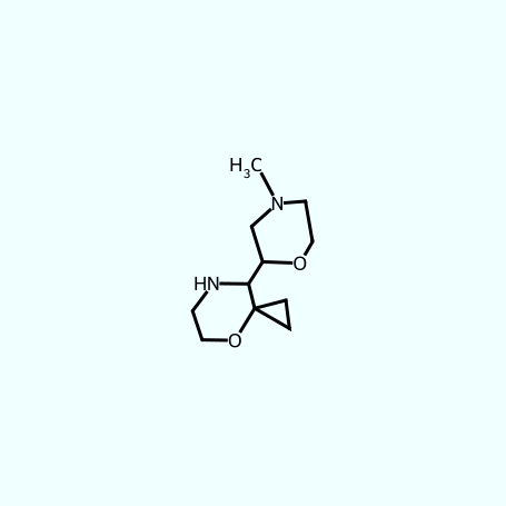 CN1CCOC(C2NCCOC23CC3)C1